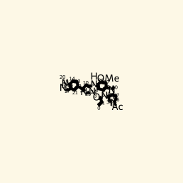 C=CC(=O)Nc1cc(Nc2cc(-c3ccc4c(cnn4C)c3)ncn2)c(OC)cc1N(C)C1CCN(C(C)=O)CC1